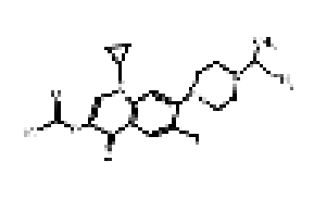 CC(C)N1CCN(c2cc3c(cc2F)c(=O)c(OC(=O)O)cn3C2CC2)CC1